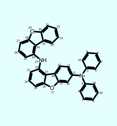 c1ccc(N(c2ccccc2)c2ccc3c(c2)oc2cccc(Nc4cccc5oc6ccccc6c45)c23)cc1